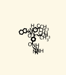 CC(C)(C)CC[C@H](c1ccc(C(=O)NCc2nn[nH]n2)cc1)N1C(=O)C(N2CCC3CCCCC3C2)=NC12CCC(C(C)(C)C)CC2